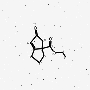 CCOC(=O)C12CCCC1=CC(=O)C2